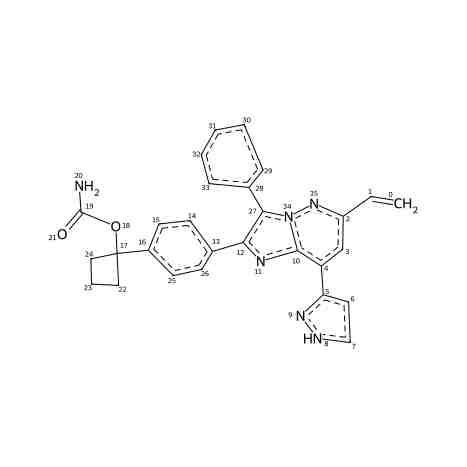 C=Cc1cc(-c2cc[nH]n2)c2nc(-c3ccc(C4(OC(N)=O)CCC4)cc3)c(-c3ccccc3)n2n1